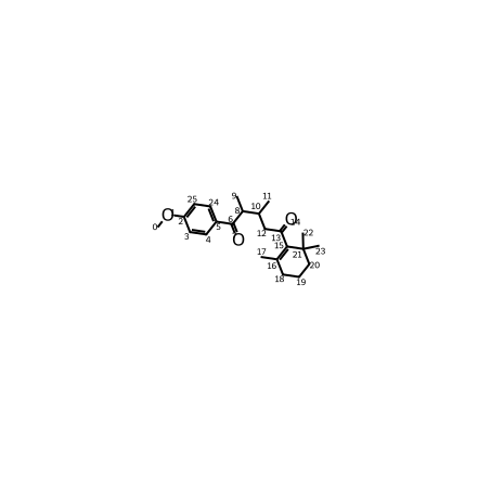 COc1ccc(C(=O)C(C)C(C)CC(=O)C2=C(C)CCCC2(C)C)cc1